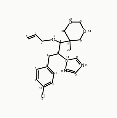 C=CCOC(C(Cc1ccc(Cl)cc1)n1cncn1)C1(C)COCOC1